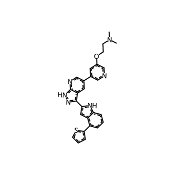 CN(C)CCOc1cncc(-c2cnc3[nH]nc(-c4cc5c(-c6cccs6)cccc5[nH]4)c3c2)c1